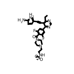 C=C(N)/C=C\C(C#Cc1c(CC)ncnc1-c1cc(F)c(C(=O)N2CCN(CCNS(C)(=O)=O)CC2)c(F)c1)=C/N